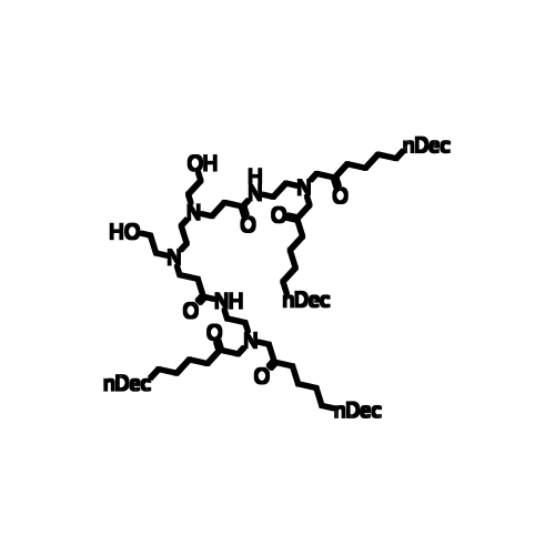 CCCCCCCCCCCCCCC(=O)CN(CCNC(=O)CCN(CCO)CCN(CCO)CCC(=O)NCCN(CC(=O)CCCCCCCCCCCCCC)CC(=O)CCCCCCCCCCCCCC)CC(=O)CCCCCCCCCCCCCC